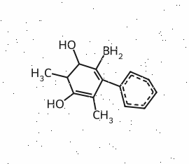 BC1=C(c2ccccc2)C(C)=C(O)C(C)C1O